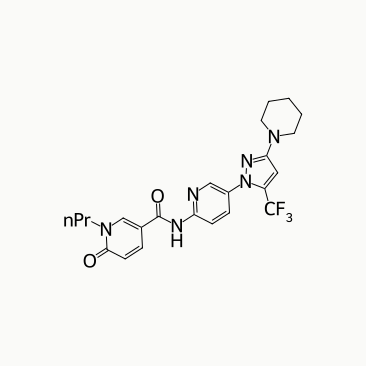 CCCn1cc(C(=O)Nc2ccc(-n3nc(N4CCCCC4)cc3C(F)(F)F)cn2)ccc1=O